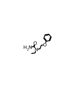 CCN(CCOc1ccccc1)C(N)=O